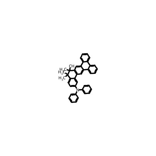 CC1(C)c2ccc(N(c3ccccc3)c3ccccc3)cc2-c2cc3c4ccccc4c4ccccc4c3cc2C1(C)C